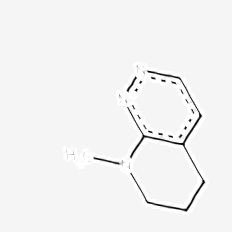 CN1CCCc2ccnnc21